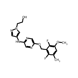 COc1cc(C)c(F)c(COc2cnc(Nc3cnn(CCO)c3)cn2)c1F